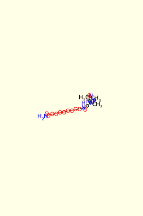 Cc1noc(C)c1-c1cnc2c(-c3ccc(C(=O)NCCOCCOCCOCCOCCOCCOCCOCCOCCOC(N)=O)cc3)cn(C(C)c3ccccn3)c2c1